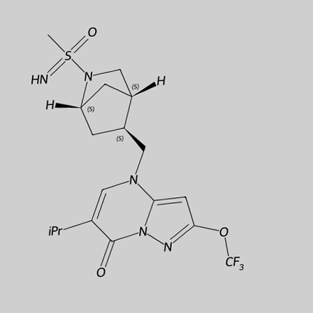 CC(C)c1cn(C[C@H]2C[C@H]3C[C@@H]2CN3S(C)(=N)=O)c2cc(OC(F)(F)F)nn2c1=O